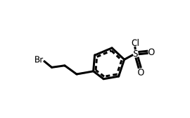 O=S(=O)(Cl)c1ccc(CCCBr)cc1